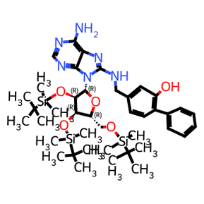 CC(C)(C)[Si](C)(C)OC[C@H]1O[C@@H](n2c(NCc3ccc(-c4ccccc4)c(O)c3)nc3c(N)ncnc32)[C@H](O[Si](C)(C)C(C)(C)C)[C@@H]1O[Si](C)(C)C(C)(C)C